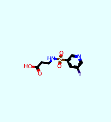 O=C(O)CCNS(=O)(=O)c1cncc(I)c1